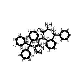 NC1N=C(c2ccccc2)c2ccccc2N(Cc2nnnn2C(c2ccccc2)(c2ccccc2)c2ccccc2)C1=O